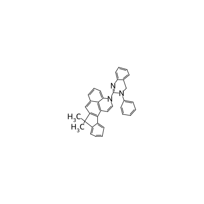 CC1(C)c2ccccc2-c2c1cc1cccc3c1c2C=CN3C1=Nc2ccccc2CN1c1ccccc1